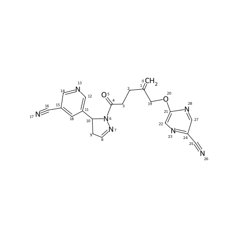 C=C(CCC(=O)N1N=CCC1c1cncc(C#N)c1)COc1cnc(C#N)cn1